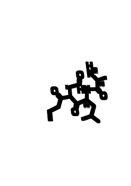 C=CCC(=O)C([C]C=O)C(=O)[C@H](CC(C)C)NC(=O)[C@H](C)N